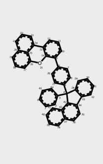 c1ccc(C2(c3ccc(-c4cccc5c4Oc4cccc6cccc-5c46)cc3)c3ccccc3-c3ccc4ccccc4c32)cc1